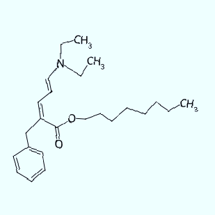 CCCCCCCCOC(=O)/C(=C\C=C\N(CC)CC)Cc1ccccc1